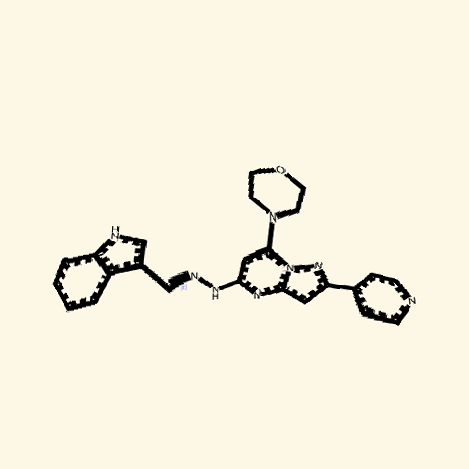 C(=N\Nc1cc(N2CCOCC2)n2nc(-c3ccncc3)cc2n1)/c1c[nH]c2ccccc12